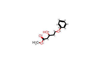 COC(=O)CC(O)CCOc1ccccc1